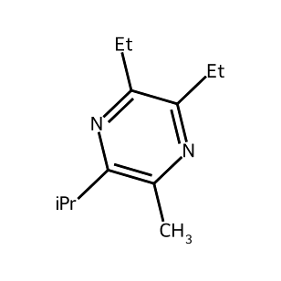 CCc1nc(C)c(C(C)C)nc1CC